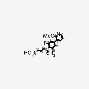 COc1ncccc1-c1cc(F)c(N(C)CCCC(=O)O)c(F)c1